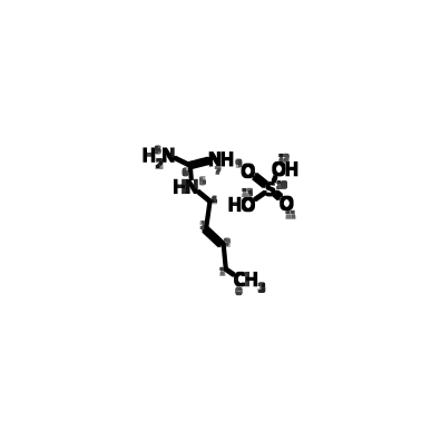 CCC=CCNC(=N)N.O=S(=O)(O)O